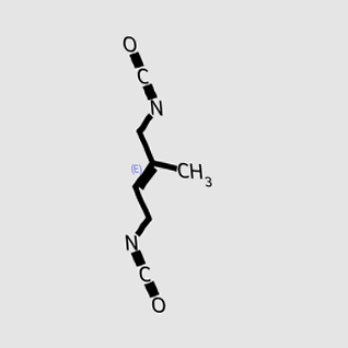 C/C(=C\CN=C=O)CN=C=O